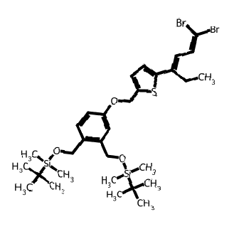 CC/C(=C\C=C(Br)Br)c1ccc(COc2ccc(CO[Si](C)(C)C(C)(C)C)c(CO[Si](C)(C)C(C)(C)C)c2)s1